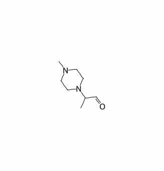 CC(C=O)N1CCN(C)CC1